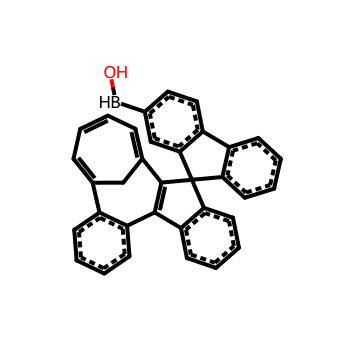 OBc1ccc2c(c1)C1(C3=C(c4ccccc4C4=CC=CC=C3C4)c3ccccc31)c1ccccc1-2